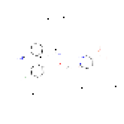 CC(NC(=O)C(C)(C)Oc1ccc([SH](=O)=O)cn1)C(Cc1ccc(Cl)cc1)c1cccc(C#N)c1